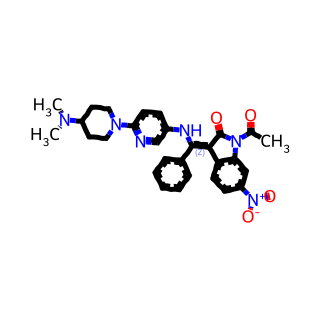 CC(=O)N1C(=O)/C(=C(\Nc2ccc(N3CCC(N(C)C)CC3)nc2)c2ccccc2)c2ccc([N+](=O)[O-])cc21